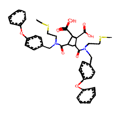 CSCCN(Cc1ccc(Oc2ccccc2)cc1)C(=O)C1C(C(=O)O)C(C(=O)O)C1C(=O)N(CCSC)Cc1ccc(Oc2ccccc2)cc1